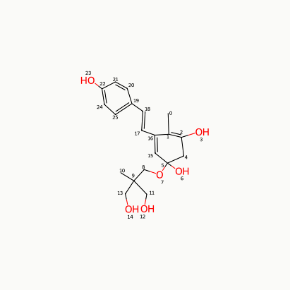 CC1=C(O)CC(O)(OCC(C)(CO)CO)C=C1C=Cc1ccc(O)cc1